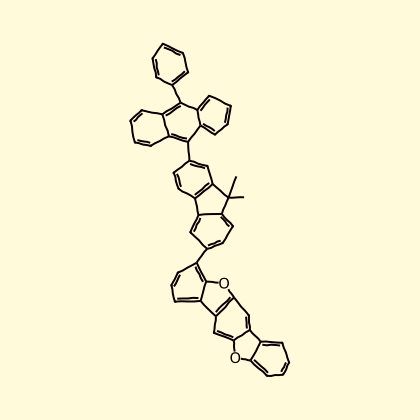 CC1(C)c2ccc(-c3cccc4c3oc3cc5c(cc34)oc3ccccc35)cc2-c2ccc(-c3c4ccccc4c(-c4ccccc4)c4ccccc34)cc21